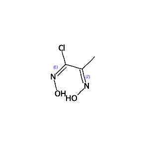 CC(=N/O)/C(Cl)=N\O